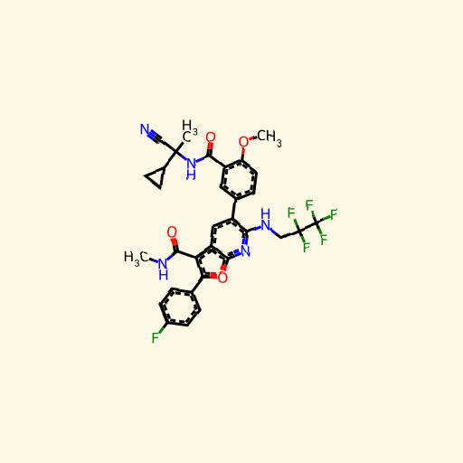 CNC(=O)c1c(-c2ccc(F)cc2)oc2nc(NCC(F)(F)C(F)(F)F)c(-c3ccc(OC)c(C(=O)NC(C)(C#N)C4CC4)c3)cc12